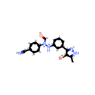 Cc1[nH]nc(-c2cccc(NN(C=O)c3ccc(C#N)cc3)c2)c1Br